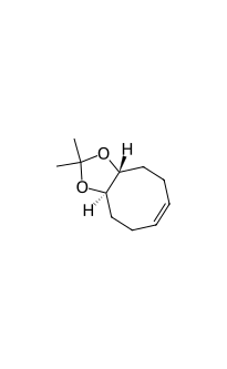 CC1(C)O[C@@H]2CCC=CCC[C@H]2O1